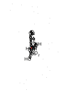 Cc1ccccc1[C@@H]1CN(Cc2ccnc3c2OCC(C)(C)O3)CCN1C1CC2(CCN(c3ccc(C(=O)NS(=O)(=O)c4ccc(NCC5CCC(C)(O)CC5)c([N+](=O)[O-])c4)c(N4c5cc6c(F)c[nH]c6nc5O[C@H]5COCC[C@@H]54)c3)CC2)C1